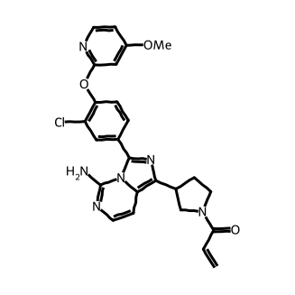 C=CC(=O)N1CCC(c2nc(-c3ccc(Oc4cc(OC)ccn4)c(Cl)c3)n3c(N)nccc23)C1